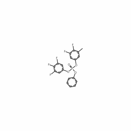 Cc1cc(OP(=O)(Oc2ccccc2)Oc2cc(F)c(F)c(F)c2)cc(F)c1F